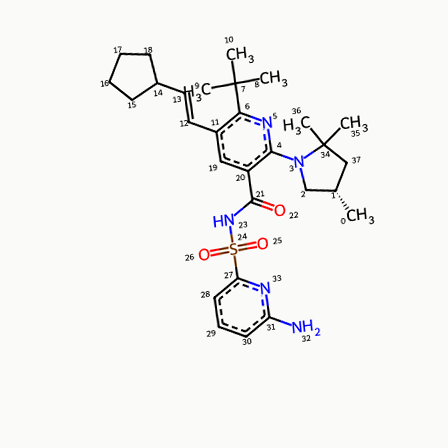 C[C@@H]1CN(c2nc(C(C)(C)C)c(C=CC3CCCC3)cc2C(=O)NS(=O)(=O)c2cccc(N)n2)C(C)(C)C1